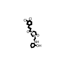 O=C(/C=C/c1ccc(Cl)c(Cl)c1)N1CCC(=O)N(CCNC2CCCCC2O)CC1